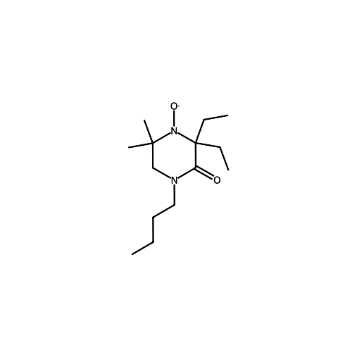 CCCCN1CC(C)(C)N([O])C(CC)(CC)C1=O